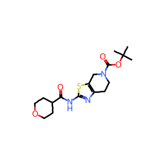 CC(C)(C)OC(=O)N1CCc2nc(NC(=O)C3CCOCC3)sc2C1